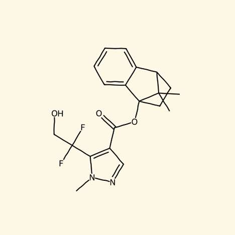 Cn1ncc(C(=O)OC23CCC(c4ccccc42)C3(C)C)c1C(F)(F)CO